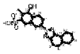 Cc1c(S(=O)(=O)O)cc2cc(-n3nc4ccc5ccccc5c4n3)ccc2c1O